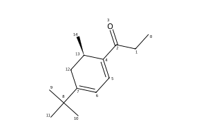 CCC(=O)C1=CC=C(C(C)(C)C)C[C@H]1C